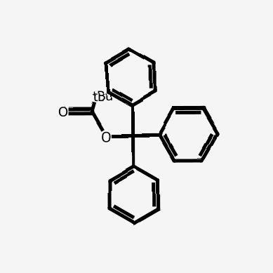 CC(C)(C)C(=O)OC(c1ccccc1)(c1ccccc1)c1ccccc1